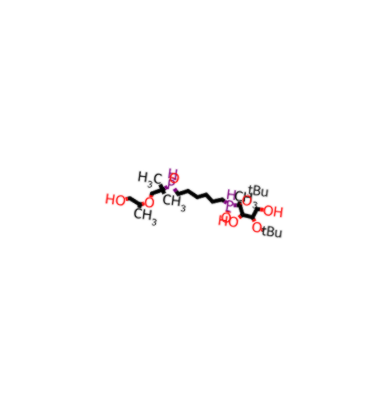 CC(CO)OCC(C)(C)[PH](=O)CCCCCC[PH](=O)C(C)(OC(C)(C)C)C(O)C(CO)OC(C)(C)C